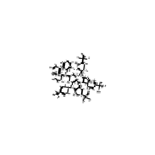 CC(C)(C)c1ccc(N2c3ccc(C(C)(C)C)cc3B3c4c2cc(N(c2ccccc2)c2cccc5ccccc25)cc4N(c2ccc(C(C)(C)C)cc2)c2sc4cc(C(C)(C)C)ccc4c23)cc1